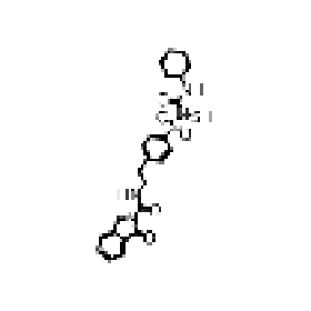 O=C(NCCc1ccc(S(=O)(=O)N(S)C(=O)NC2CCCCC2)cc1)N1Cc2ccccc2C1=O